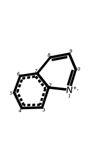 [C]1=[N+]c2ccccc2C=C1